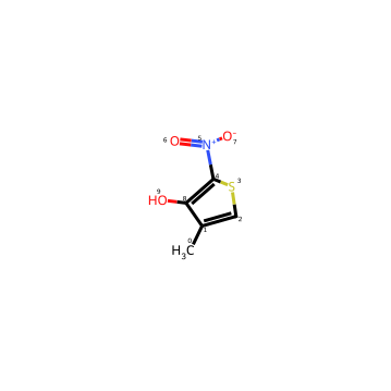 Cc1csc([N+](=O)[O-])c1O